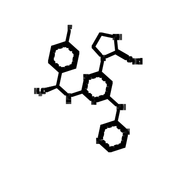 C[C@H](Nc1nc(Nc2cnccn2)cc(N2CCNC2=O)n1)c1ccc(F)cc1.Cl